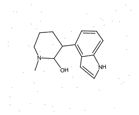 CN1CCCC(c2cccc3[nH]ccc23)C1O